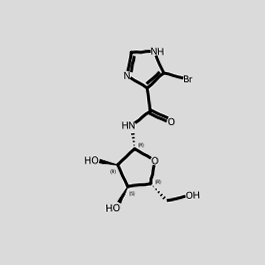 O=C(N[C@@H]1O[C@H](CO)[C@@H](O)[C@H]1O)c1nc[nH]c1Br